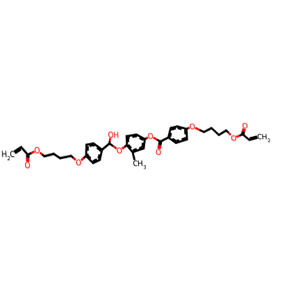 C=CC(=O)OCCCCOc1ccc(C(=O)Oc2ccc(OC(O)c3ccc(OCCCCOC(=O)C=C)cc3)c(C)c2)cc1